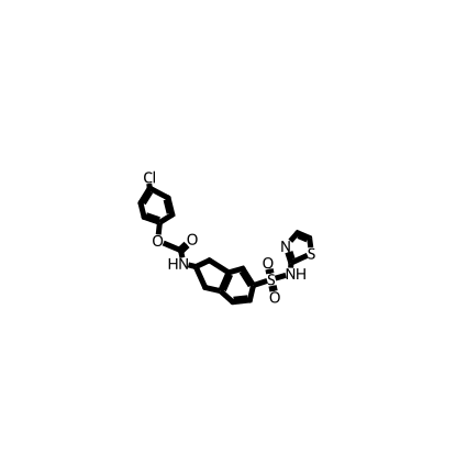 O=C(NC1Cc2ccc(S(=O)(=O)Nc3nccs3)cc2C1)Oc1ccc(Cl)cc1